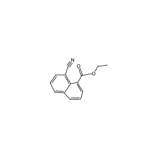 CCOC(=O)c1cccc2cccc(C#N)c12